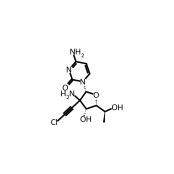 C[C@H](O)[C@H]1O[C@@H](n2ccc(N)nc2=O)C(N)(C#CCl)[C@H]1O